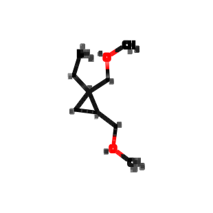 BCC1(COC)CC1COC